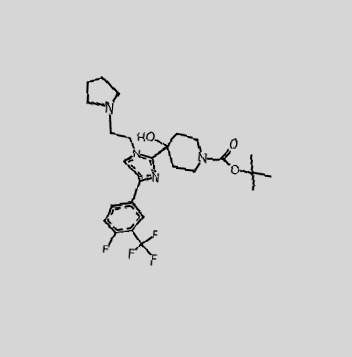 CC(C)(C)OC(=O)N1CCC(O)(c2nc(-c3ccc(F)c(C(F)(F)F)c3)cn2CCN2CCCC2)CC1